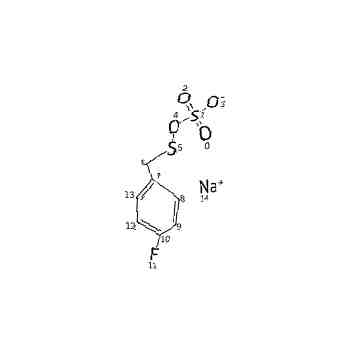 O=S(=O)([O-])OSCc1ccc(F)cc1.[Na+]